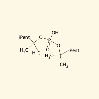 CCCC(C)C(C)(C)OP(=O)(O)OC(C)(C)C(C)CCC